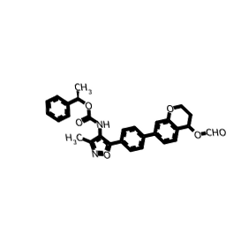 Cc1noc(-c2ccc(-c3ccc4c(c3)OCCC4OC=O)cc2)c1NC(=O)O[C@H](C)c1ccccc1